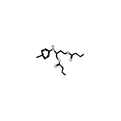 CCCC(=O)OCCC(COC(=O)CCC)Nc1ccc(C)cc1